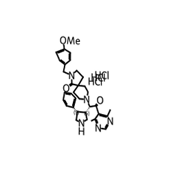 COc1ccc(CN2CCC3(CCN(C(C(=O)c4c(C)ncnc4C)[C@@H]4CNC[C@@H]4c4ccccc4)CC3)C2=O)cc1.Cl.Cl.Cl